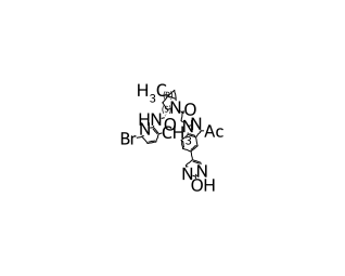 CC(=O)c1nn(CC(=O)N2C3C[C@]3(C)C[C@H]2C(=O)Nc2nc(Br)ccc2C)c2ccc(-c3cnc(O)nc3)cc12